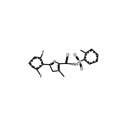 CC1=C(C(=O)NS(=O)(=O)c2ccccc2C)N=C(c2c(F)cccc2F)C1